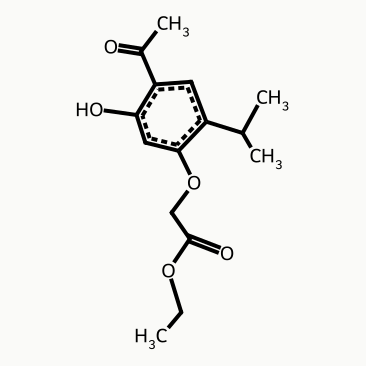 CCOC(=O)COc1cc(O)c(C(C)=O)cc1C(C)C